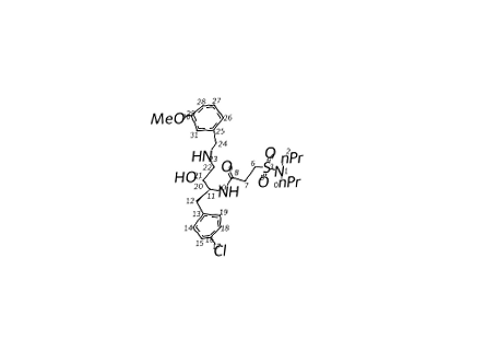 CCCN(CCC)S(=O)(=O)CCC(=O)N[C@@H](Cc1ccc(Cl)cc1)[C@H](O)CNCc1cccc(OC)c1